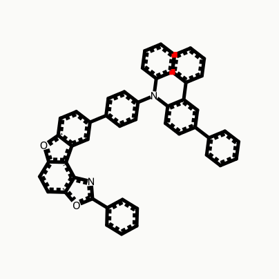 c1ccc(-c2ccc(N(c3ccccc3)c3ccc(-c4ccc5oc6ccc7oc(-c8ccccc8)nc7c6c5c4)cc3)c(-c3ccccc3)c2)cc1